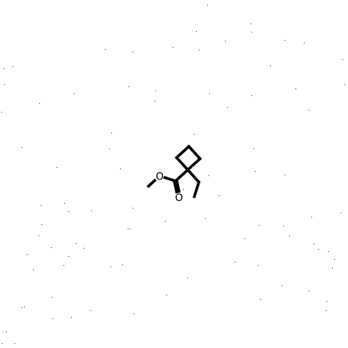 CCC1(C(=O)OC)CCC1